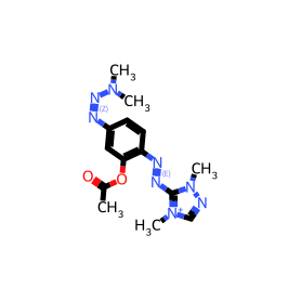 CC(=O)Oc1cc(/N=N\N(C)C)ccc1/N=N/c1n(C)nc[n+]1C